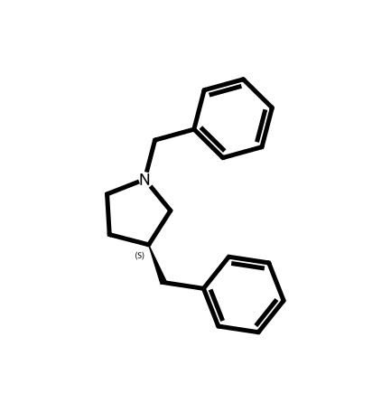 c1ccc(C[C@H]2CCN(Cc3ccccc3)C2)cc1